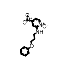 O=[N+]([O-])c1cc[n+]([O-])c(NCCCOc2ccccc2)c1